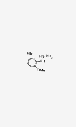 Br.COc1ccccc1NN[N+](=O)[O-]